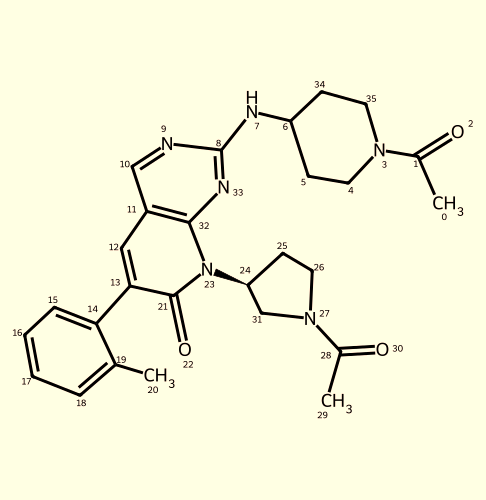 CC(=O)N1CCC(Nc2ncc3cc(-c4ccccc4C)c(=O)n([C@H]4CCN(C(C)=O)C4)c3n2)CC1